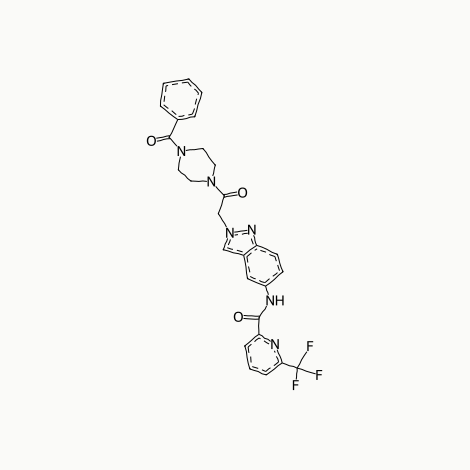 O=C(Nc1ccc2nn(CC(=O)N3CCN(C(=O)c4ccccc4)CC3)cc2c1)c1cccc(C(F)(F)F)n1